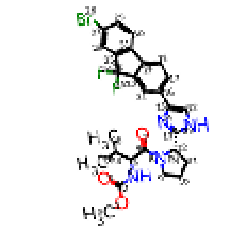 COC(=O)NC(C(=O)N1CCC[C@H]1c1nc(-c2ccc3c(c2)C(F)(F)c2cc(Br)ccc2-3)c[nH]1)C(C)C